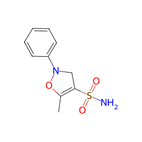 CC1=C(S(N)(=O)=O)CN(c2ccccc2)O1